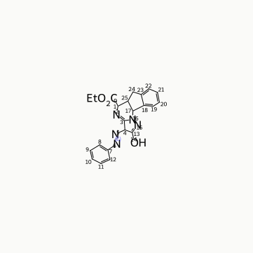 CCOC(=O)C1N=C2C(/N=N/c3ccccc3)C(O)=NN2C2c3ccccc3CC12